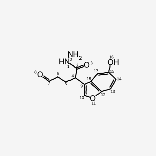 NNC(=O)C(CCC=O)c1coc2ccc(O)cc12